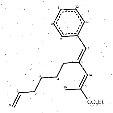 C=CCCCCC(=C\c1ccccc1)/C=C(\C)C(=O)OCC